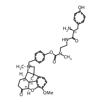 COc1ccc2c3c1O[C@H]1C(=O)CC[C@H]4C5C2(C[C@]314)C[N@+]5(C)Cc1ccc(OC(=O)N(C)CCNC(=O)[C@@H](N)Cc2ccc(O)cc2)cc1